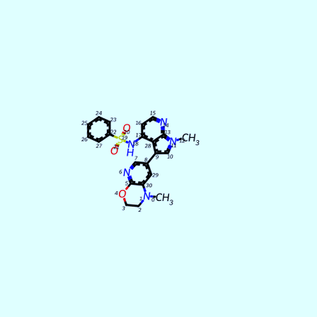 CN1CCOc2ncc(-c3cn(C)c4nccc(NS(=O)(=O)c5ccccc5)c34)cc21